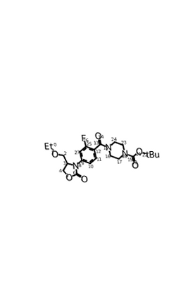 CCOCC1COC(=O)N1c1ccc(C(=O)N2CCN(C(=O)OC(C)(C)C)CC2)c(F)c1